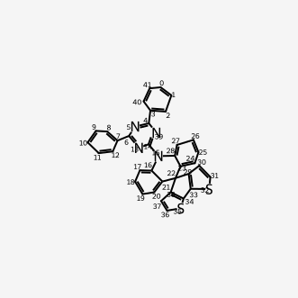 c1ccc(-c2nc(-c3ccccc3)nc(N3c4ccccc4C4(c5ccccc53)c3ccsc3-c3sccc34)n2)cc1